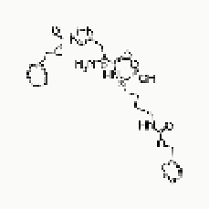 N[C@@H](Cc1cn(C(=O)OCc2ccccc2)cn1)C(=O)N[C@@H](CCCCNC(=O)OCc1ccccc1)C(=O)O